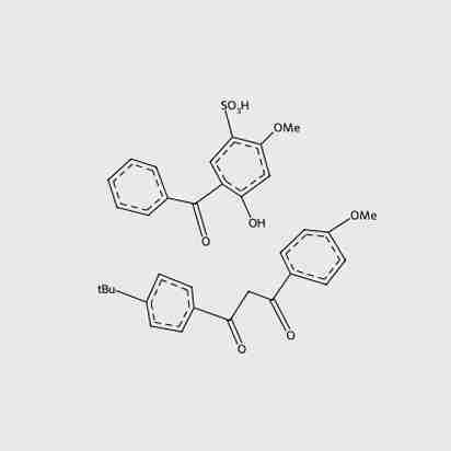 COc1cc(O)c(C(=O)c2ccccc2)cc1S(=O)(=O)O.COc1ccc(C(=O)CC(=O)c2ccc(C(C)(C)C)cc2)cc1